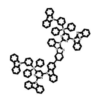 C1=CC2N=C3N(c4nc(-n5c6ccccc6n6c7ccccc7nc56)cc([Si](c5ccccc5)(c5ccccc5)c5cccc(-n6c7ccccc7c7ccccc76)c5)n4)c4ccccc4N3C2C=C1c1ccc2c(c1)c1ccccc1n2-c1cc([Si](c2ccccc2)(c2ccccc2)c2cccc(-n3c4ccccc4c4ccccc43)c2)nc(-n2c3ccccc3c3ccccc32)n1